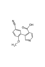 COc1ccc(C#N)cc1-c1cnccc1C(=O)O